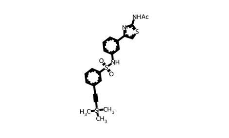 CC(=O)Nc1nc(-c2cccc(NS(=O)(=O)c3cccc(C#C[Si](C)(C)C)c3)c2)cs1